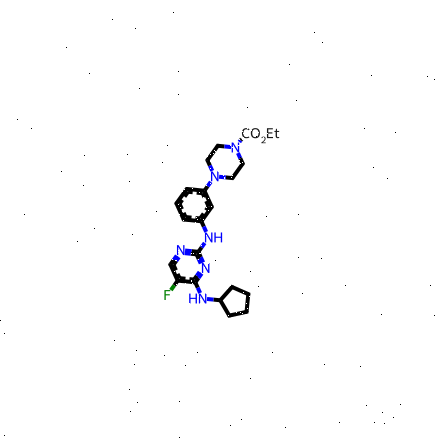 CCOC(=O)N1CCN(c2cccc(Nc3ncc(F)c(NC4CCCC4)n3)c2)CC1